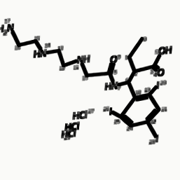 CCC(C(=O)O)C(NC(=O)CNCCNCCN)c1c(I)cc(I)cc1I.Cl.Cl.Cl